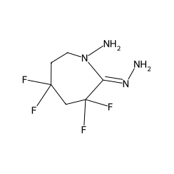 N/N=C1\N(N)CCC(F)(F)CC1(F)F